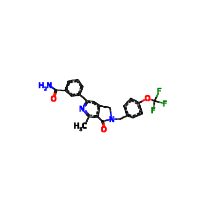 Cc1nc(-c2cccc(C(N)=O)c2)cc2c1C(=O)N(Cc1ccc(OC(F)(F)F)cc1)C2